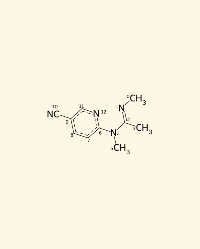 CN=C(C)N(C)c1ccc(C#N)cn1